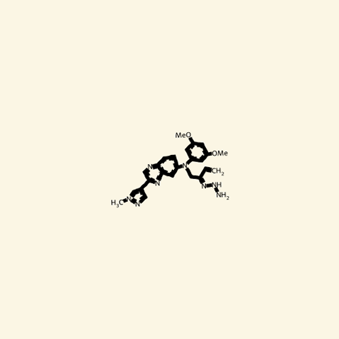 C=C/C(CN(c1cc(OC)cc(OC)c1)c1ccc2ncc(-c3cnn(C)c3)nc2c1)=N\NN